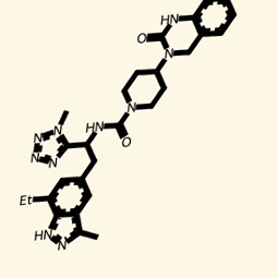 CCc1cc(CC(NC(=O)N2CCC(N3Cc4ccccc4NC3=O)CC2)c2nnnn2C)cc2c(C)n[nH]c12